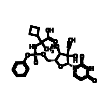 C#C[C@@]1(O)[C@H](O)[C@@H](COP(=O)(NC(C)(C(=O)O)C2CCC2)Oc2ccccc2)O[C@H]1n1ccc(=O)[nH]c1=O